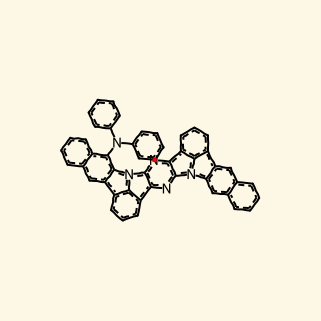 c1ccc(N(c2ccccc2)c2c3ccccc3cc3c4cccc5c6nc7c(nc6n(c23)c45)c2cccc3c4cc5ccccc5cc4n7c32)cc1